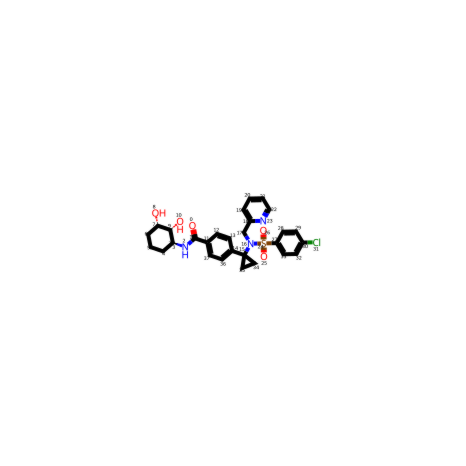 O=C(N[C@H]1CCC[C@H](O)[C@@H]1O)c1ccc(C2(N(Cc3ccccn3)S(=O)(=O)c3ccc(Cl)cc3)CC2)cc1